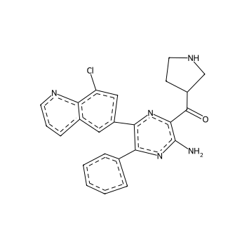 Nc1nc(-c2ccccc2)c(-c2cc(Cl)c3ncccc3c2)nc1C(=O)C1CCNC1